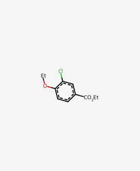 CCOC(=O)c1ccc(OCC)c(Cl)c1